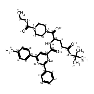 CCOC(=O)N1CCN(C(=O)C(CCC(=O)OC(C)(C)C)NC(=O)c2cc(-c3ccc(C)cc3)nc(-c3ccccc3)n2)CC1